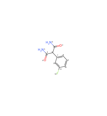 NC(=O)C(C(N)=O)c1cccc(F)c1